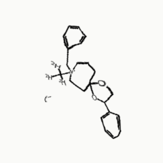 [2H]C([2H])([2H])[N+]1(Cc2ccccc2)CCCC2(CC1)OCC(c1ccccc1)O2.[I-]